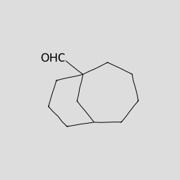 O=CC12CCCCC(CCC1)C2